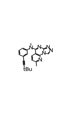 Cc1ccc2c(N(C)c3cccc(C#CC(C)(C)C)c3)nc3nncn3c2n1